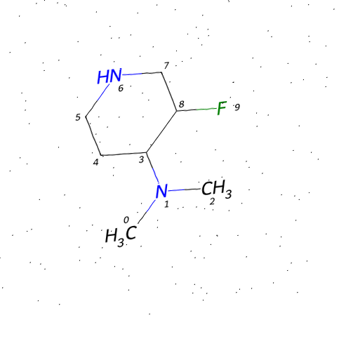 CN(C)C1CCNCC1F